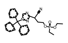 CCOP(=O)(CC)OCCC(C#N)c1ncn(C(c2ccccc2)(c2ccccc2)c2ccccc2)n1